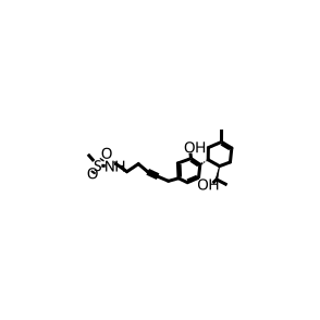 CC1=CC[C@@H](C(C)C)[C@H](c2c(O)cc(CC#CCCCNS(C)(=O)=O)cc2O)C1